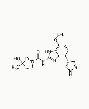 COc1ccc(-c2cn[nH]c2)c2nc(NC(=O)N3CCC(C)(O)O3)[nH]c12